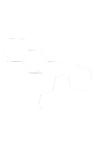 OCCCS1(Cc2ccc3c(c2)OCCO3)CCOCC1